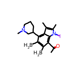 Bc1c(B)c(C(C)=O)c2c(c(C)c(C)n2I)c1C1CCCN(C)C1